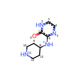 O=c1[nH][c]cnc1NC1CCNCC1